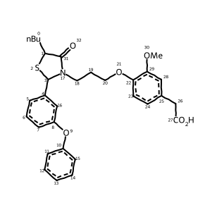 CCCCC1SC(c2cccc(Oc3ccccc3)c2)N(CCCOc2ccc(CC(=O)O)cc2OC)C1=O